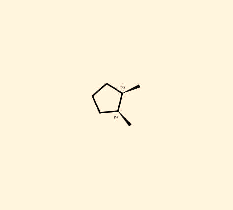 C[C@@H]1CCC[C@@H]1C